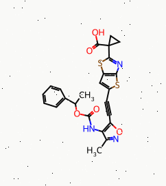 Cc1noc(C#Cc2cc3sc(C4(C(=O)O)CC4)nc3s2)c1NC(=O)OC(C)c1ccccc1